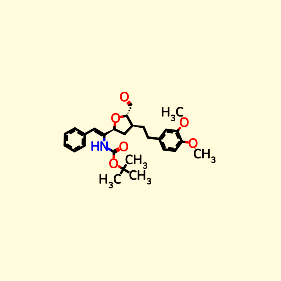 COc1ccc(CC[C@H]2C[C@@H](C(=Cc3ccccc3)NC(=O)OC(C)(C)C)O[C@@H]2C=O)cc1OC